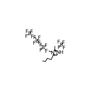 CCCCc1c[nH]c(C)[n+]1C.F[B-](F)(F)F.F[B-](F)(F)F.F[B-](F)(F)F.F[B-](F)(F)F